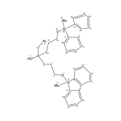 CC(=O)CC(O)(CCCO[Si](c1ccccc1)(c1ccccc1)C(C)(C)C)CCCO[Si](c1ccccc1)(c1ccccc1)C(C)(C)C